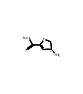 COC(=O)C1=C[C@H](N)CO1